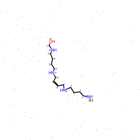 CCNCCCCNC/C=C\CNCCCCNCO